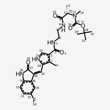 Cc1c(C(=O)NCCNC(=O)[C@H](C)N(C)C(=O)OC(C)(C)C)c[nH]c1C=C1C(=O)Nc2ccc(F)cc21